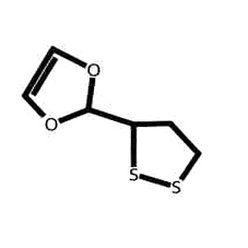 C1=COC(C2CCSS2)O1